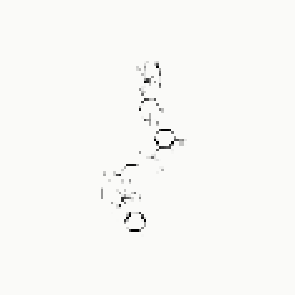 O=C(CCNC(=O)c1cc(F)cc(N2CCC(Nc3ncccn3)CC2)c1)ONS(=O)(=O)c1ccccc1